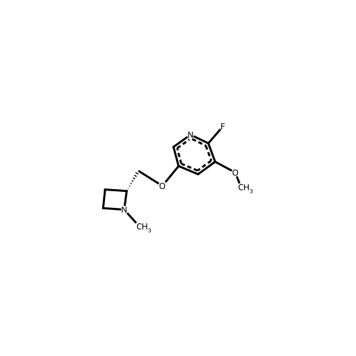 COc1cc(OC[C@H]2CCN2C)cnc1F